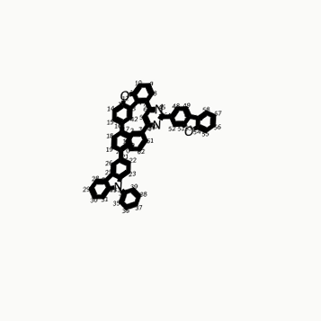 c1ccc(-c2cc(-c3cccc4oc5ccc(-c6ccc(-c7ccc8c(c7)c7ccccc7n8-c7ccccc7)cc6)cc5c34)nc(-c3ccc4c(c3)oc3ccccc34)n2)cc1